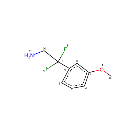 COc1cccc(C(F)(F)CN)c1